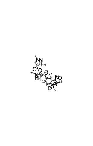 Cc1nn(C)cc1C(=O)Oc1c(C(=O)c2ccc(S(C)(=O)=O)c(C3=NOCC3)c2C)cnn1C